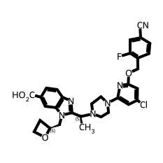 C[C@@H](c1nc2ccc(C(=O)O)cc2n1C[C@@H]1CCO1)N1CCN(c2cc(Cl)cc(OCc3ccc(C#N)cc3F)n2)CC1